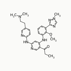 CCC(=O)c1cnc(Nc2ccc(CCN(C)C)cn2)cc1Nc1cccc(-c2ncn(C)n2)c1OC